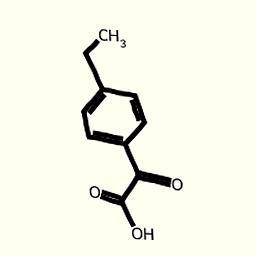 CCc1ccc(C(=O)C(=O)O)cc1